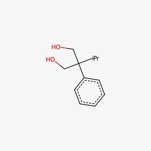 CC(C)C(CO)(CO)c1ccccc1